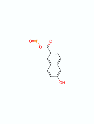 O=POC(=O)c1ccc2cc(O)ccc2c1